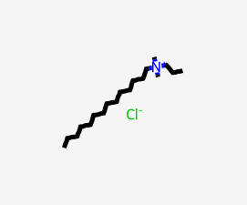 CCCCCCCCCCCCCC[N+](C)(C)CCC.[Cl-]